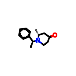 C[C@@H]1CC(=O)CCN1[C@@H](C)c1ccccc1